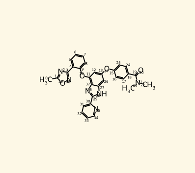 Cc1nc(-c2ccccc2Oc2cc(Oc3ccc(C(=O)N(C)C)cc3)cc3[nH]c(-c4ccccn4)nc23)no1